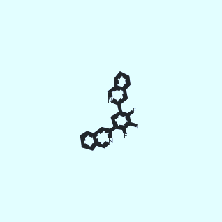 Fc1c(-c2cc3ccccc3cn2)cc(-c2cc3ccccc3cn2)c(F)c1F